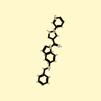 O=C(C1CSN(c2cccnc2)C1)n1ccc2cc(OCc3ccccc3)ccc21